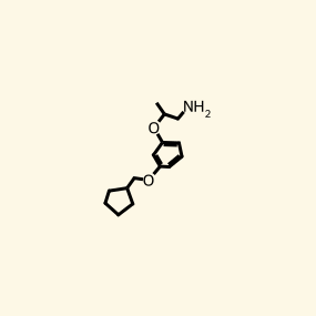 CC(CN)Oc1cccc(OCC2CCCC2)c1